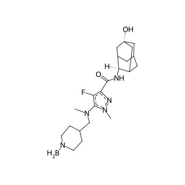 BN1CCC(CN(C)c2c(F)c(C(=O)N[C@H]3C4CC5CC3C[C@](O)(C5)C4)nn2C)CC1